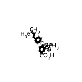 CN(C)CCc1ccc(Oc2ccc(C(=O)O)cc2S(C)(=O)=O)cc1